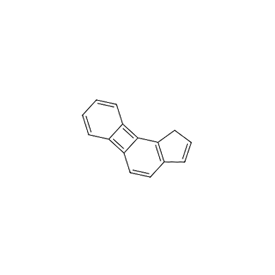 C1=Cc2ccc3c(c2C1)=c1ccccc1=3